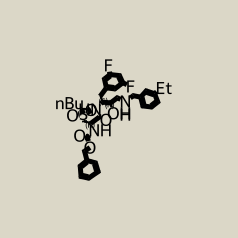 CCCCS(=O)(=O)C[C@H](NC(=O)OCc1ccccc1)C(=O)N[C@@H](Cc1cc(F)cc(F)c1)[C@H](O)CNCc1cccc(CC)c1